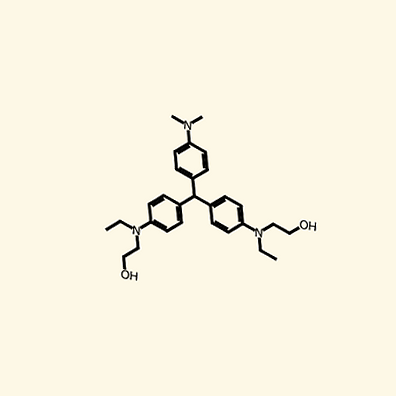 CCN(CCO)c1ccc(C(c2ccc(N(C)C)cc2)c2ccc(N(CC)CCO)cc2)cc1